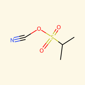 CC(C)S(=O)(=O)OC#N